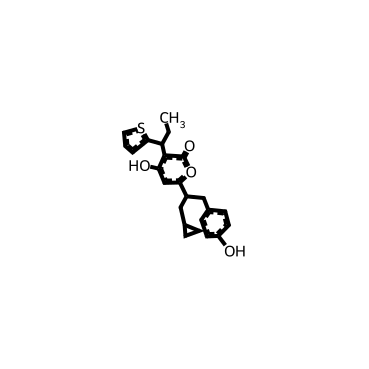 CCC(c1cccs1)c1c(O)cc(C(Cc2ccc(O)cc2)CC2CC2)oc1=O